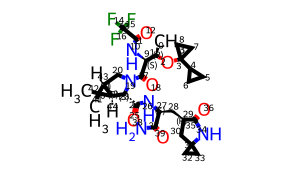 C[C@@H](OC1(C2CC2)CC1)[C@H](NC(=O)C(F)(F)F)C(=O)N1C[C@H]2[C@@H]([C@H]1C(=O)N[C@@H](C[C@@H]1CC3(CC3)NC1=O)C(N)=O)C2(C)C